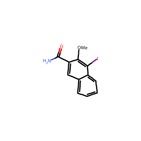 COc1c(C(N)=O)cc2ccccc2c1I